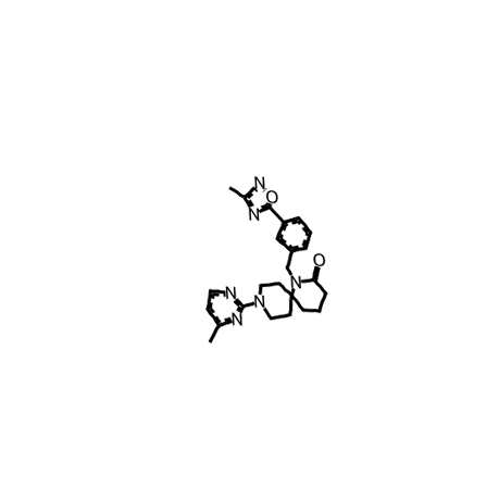 Cc1ccnc(N2CCC3(CCCC(=O)N3Cc3cccc(-c4nc(C)no4)c3)CC2)n1